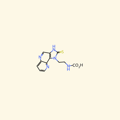 O=C(O)NCCn1c(=S)[nH]c2cnc3cccnc3c21